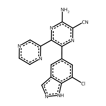 N#Cc1nc(-c2cc(Cl)c3[nH]ncc3c2)c(-c2cnccn2)nc1N